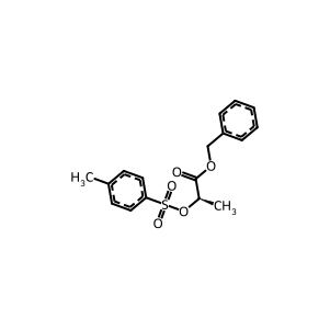 Cc1ccc(S(=O)(=O)O[C@H](C)C(=O)OCc2ccccc2)cc1